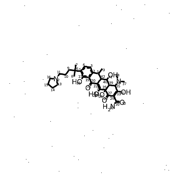 CC1c2ccc(C(C)(C)CCCN3CCCC3)c(O)c2C(=O)C2=C(O)C3(O)C(=O)C(C(N)=O)=C(O)C(N(C)C)C3C(O)C21